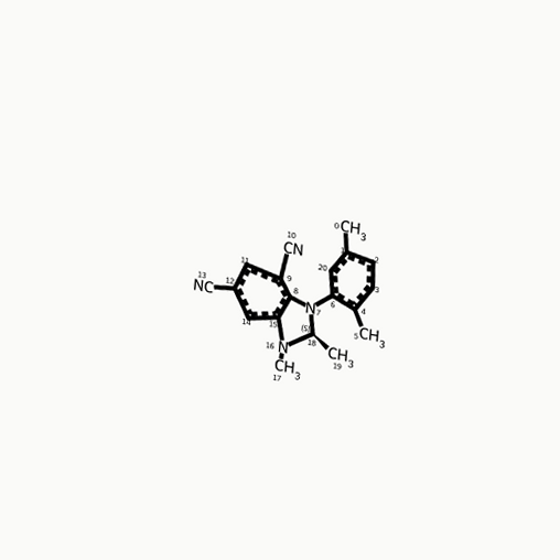 Cc1ccc(C)c(N2c3c(C#N)cc(C#N)cc3N(C)[C@@H]2C)c1